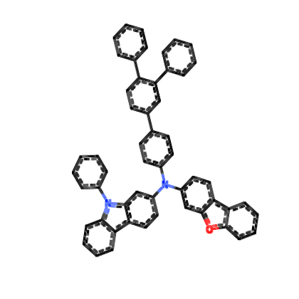 c1ccc(-c2ccc(-c3ccc(N(c4ccc5c(c4)oc4ccccc45)c4ccc5c6ccccc6n(-c6ccccc6)c5c4)cc3)cc2-c2ccccc2)cc1